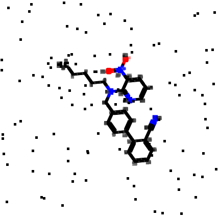 CCCCCN(Cc1ccc(-c2ccccc2C#N)cc1)c1ncccc1[N+](=O)[O-]